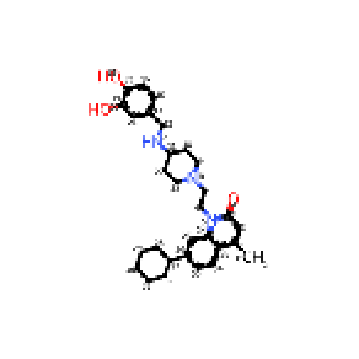 Cc1cc(=O)n(CCN2CCC(NCc3ccc(O)c(O)c3)CC2)c2cc(C3CCCCC3)ccc12